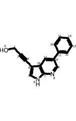 OCC#Cc1c[nH]c2ncc(-c3ccccc3)cc12